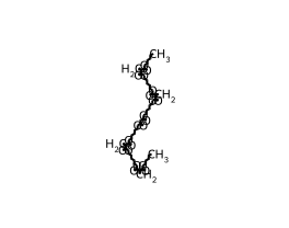 C=C(C(=O)OCCCCC)C(=O)OCCCCCOC(=O)C(=C)C(=O)OCCCCCOC(=O)CC(=O)OCCCCCOC(=O)C(=C)C(=O)OCCCCCOC(=O)C(=C)C(=O)OCCCCC